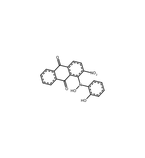 O=C1c2ccccc2C(=O)c2c1ccc([N+](=O)[O-])c2N(O)c1ccccc1O